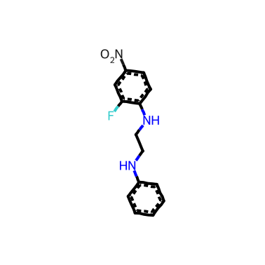 O=[N+]([O-])c1ccc(NCCNc2ccccc2)c(F)c1